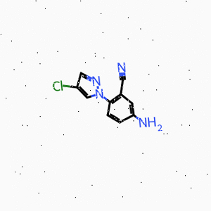 N#Cc1cc(N)ccc1-n1cc(Cl)cn1